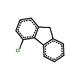 Clc1cccc2c1-c1ccccc1C2